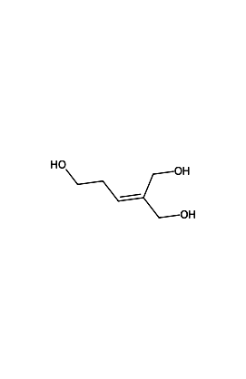 OCCC=C(CO)CO